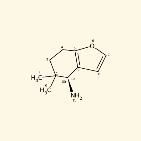 CC1(C)CCc2occc2[C@H]1N